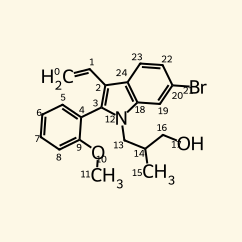 C=Cc1c(-c2ccccc2OC)n(CC(C)CO)c2cc(Br)ccc12